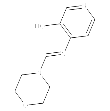 Oc1cnccc1/N=C/N1CCOCC1